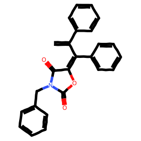 C=C(C(=C1OC(=O)N(Cc2ccccc2)C1=O)c1ccccc1)c1ccccc1